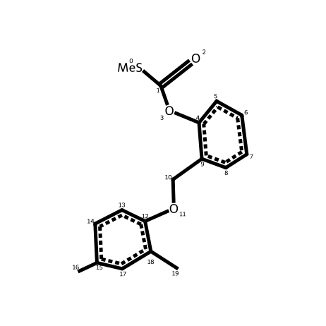 CSC(=O)Oc1ccccc1COc1ccc(C)cc1C